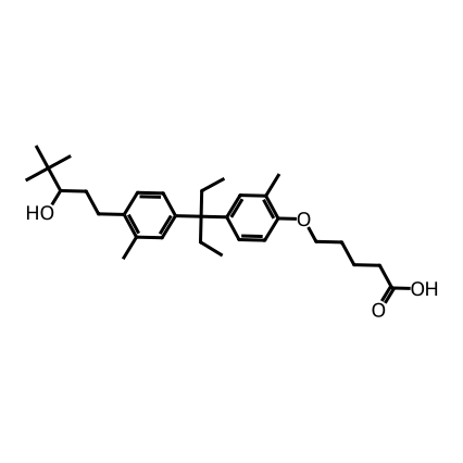 CCC(CC)(c1ccc(CCC(O)C(C)(C)C)c(C)c1)c1ccc(OCCCCC(=O)O)c(C)c1